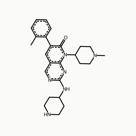 Cc1ccccc1-c1cc2cnc(NC3CCNCC3)nc2n(C2CCN(C)CC2)c1=O